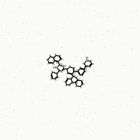 C1=CCC(C2N=C(C3C=C(C4CC5=C(CCC=C5)C5CCC=CC45)C(c4cccc(C5C=CCNC5)c4)CC3)NC(C3=C4C=CCCC4CC=C3)N2)C=C1